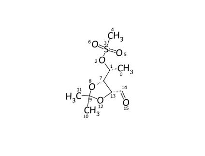 C[C@@H](OS(C)(=O)=O)[C@H]1OC(C)(C)O[C@H]1C=O